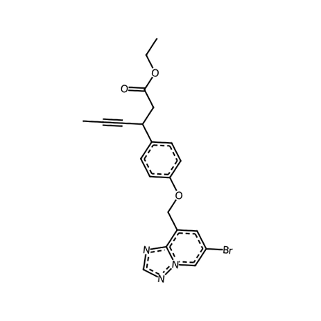 CC#CC(CC(=O)OCC)c1ccc(OCc2cc(Br)cn3ncnc23)cc1